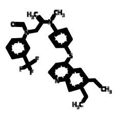 C=C(CN(C=O)c1cccc(C(F)(F)F)c1)N(C)c1ccc(Sc2ccnc3cc(CC)c(CC)cc23)cc1